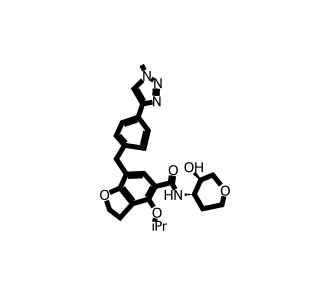 CC(C)Oc1c(C(=O)N[C@H]2CCOC[C@@H]2O)cc(Cc2ccc(-c3cn(C)nn3)cc2)c2c1CCO2